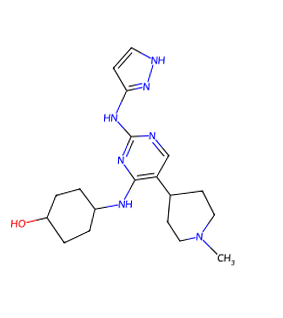 CN1CCC(c2cnc(Nc3cc[nH]n3)nc2NC2CCC(O)CC2)CC1